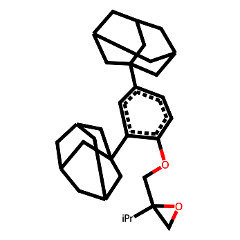 CC(C)C1(COc2ccc(C34CC5CC(CC(C5)C3)C4)cc2C23CC4CC(CC(C4)C2)C3)CO1